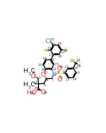 COC[C@](C)(CC1CN(S(=O)(=O)c2cccc(C(F)(F)F)c2)c2cc(-c3cc(F)cc(Cl)c3F)ccc2O1)C(=O)O